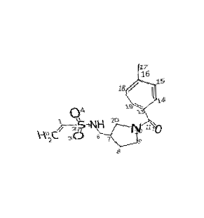 C=CS(=O)(=O)NCC1CCN(C(=O)c2ccc(I)cc2)C1